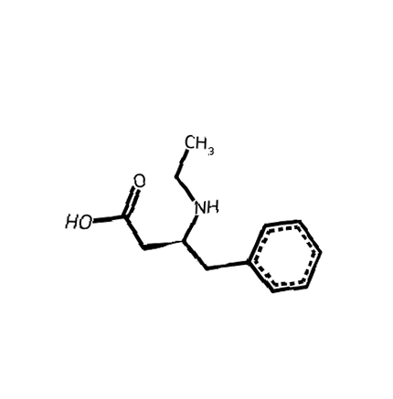 CCN[C@H](CC(=O)O)Cc1ccccc1